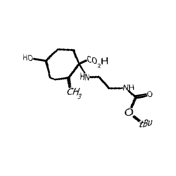 CC1CC(O)CCC1(NCCNC(=O)OC(C)(C)C)C(=O)O